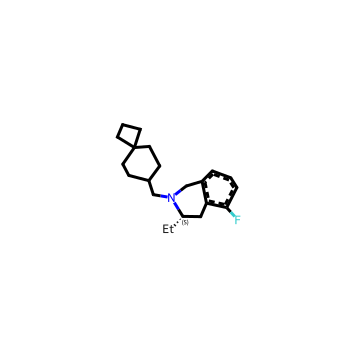 CC[C@H]1Cc2c(F)cccc2CN1CC1CCC2(CCC2)CC1